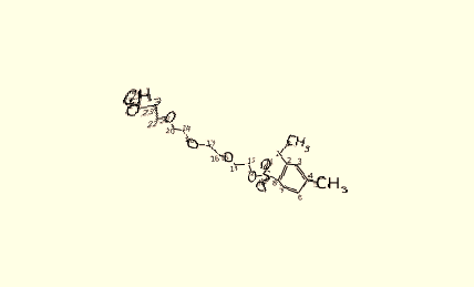 CCc1cc(C)ccc1S(=O)(=O)OCCOCCOCCOCCOC